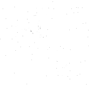 CC(C)(c1ccc(-c2ccc3ccccc3c2)cc1)c1ccc(-c2nc(C3=CCCC=C3)cc(-c3ccccc3)n2)cc1